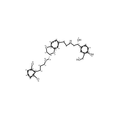 OCc1cc([C@@H](O)CNCCc2ccc3c(c2)O[C@H](COCCCc2c(Cl)cccc2Cl)CO3)ccc1O